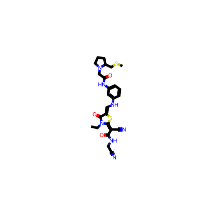 CCn1c(=C(C#N)C(=O)NCC#N)sc(=CNc2cccc(NC(=O)CN3CCCC3CSC)c2)c1=O